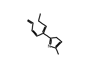 C=C/C=C\C(=C/CC)C1=NC(C)=CC1